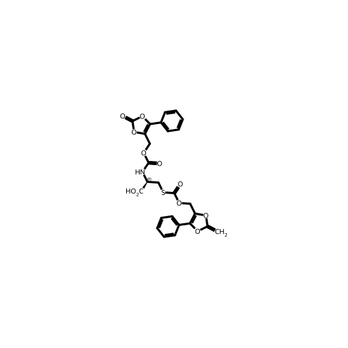 C=C1OC(COC(=O)SC[C@H](NC(=O)OCc2oc(=O)oc2-c2ccccc2)C(=O)O)=C(c2ccccc2)O1